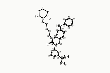 C[C@@H]1CCC[C@H](C)N1CCCCCn1c(=O)c(-c2cccc(C(=N)N)c2)cc2ccc(Nc3ccccc3)cc21